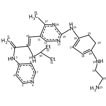 C=C(Nc1ccncc1)/C(=C/c1cnc(NC2=CC=C(NCCN)CC2)nc1C)NC(CC)CC